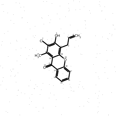 C=CCc1c(O)c(Cl)c(C)c2c(=O)c3ccccc3oc12